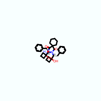 NC(=O)C1(C(=O)N([C@H](Cc2ccccc2)C2(O)CCC2)[C@H](Cc2ccccc2)C2(O)CCC2)CCCCC1